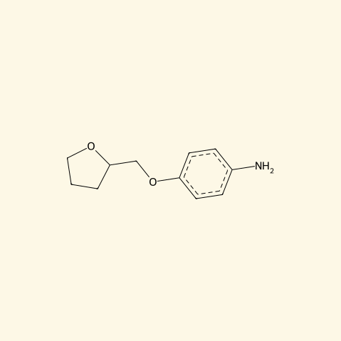 Nc1ccc(OCC2CCCO2)cc1